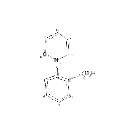 O=C(O)c1ccccc1N1C=CC=CO1